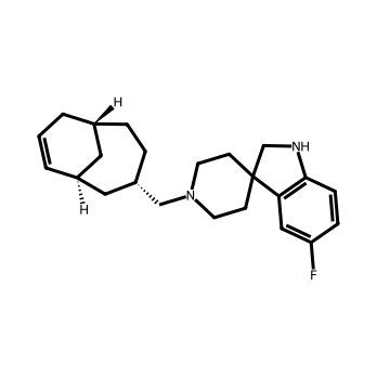 Fc1ccc2c(c1)C1(CCN(C[C@H]3CC[C@H]4CC=C[C@@H](C4)C3)CC1)CN2